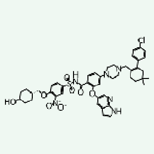 CC1(C)CCC(CN2CCN(c3ccc(C(=O)NS(=O)(=O)c4ccc(OC[C@H]5CC[C@H](O)CC5)c([N+](=O)[O-])c4)c(Oc4cnc5[nH]ccc5c4)c3)CC2)=C(c2ccc(Cl)cc2)C1